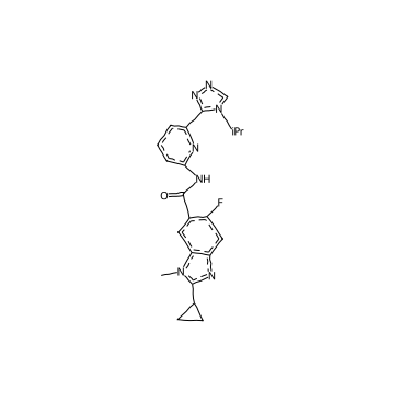 CC(C)n1cnnc1-c1cccc(NC(=O)c2cc3c(cc2F)nc(C2CC2)n3C)n1